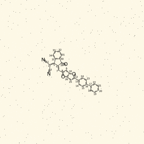 N#CC(C#N)=C1/C(=C/c2cc3oc(-c4ccc(-c5ccccc5)cc4)cc3o2)C(=O)c2ccccc21